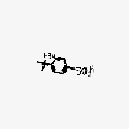 CC(C)(C)C(C)(C)c1ccc(S(=O)(=O)O)cc1